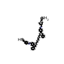 NOCCN1C=CC(/C=C/c2ccc(N(CCCCSSCCCCN(Cc3ccccc3)c3ccc(/C=C/c4cc[n+](CCO)cc4)cc3)Cc3ccccc3)cc2)=CC1